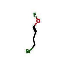 FOC=CCCBr